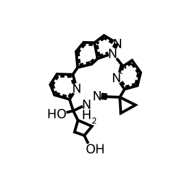 N#CC1(c2cccc(-n3ncc4ccc(-c5cccc(C(N)(O)C6CC(O)C6)n5)cc43)n2)CC1